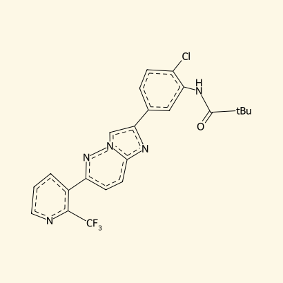 CC(C)(C)C(=O)Nc1cc(-c2cn3nc(-c4cccnc4C(F)(F)F)ccc3n2)ccc1Cl